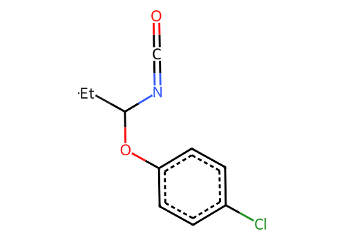 C[CH]C(N=C=O)Oc1ccc(Cl)cc1